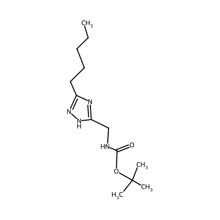 CCCCCc1n[nH]c(CNC(=O)OC(C)(C)C)n1